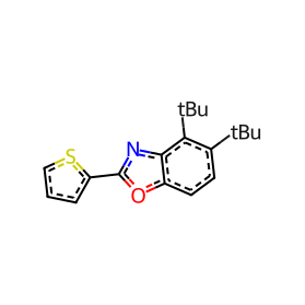 CC(C)(C)c1ccc2oc(-c3cccs3)nc2c1C(C)(C)C